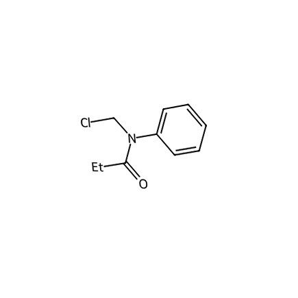 CCC(=O)N(CCl)c1ccccc1